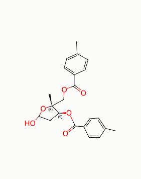 Cc1ccc(C(=O)OC[C@@]2(C)OC(O)C[C@@H]2OC(=O)c2ccc(C)cc2)cc1